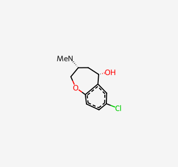 CN[C@H]1COc2ccc(Cl)cc2[C@@H](O)C1